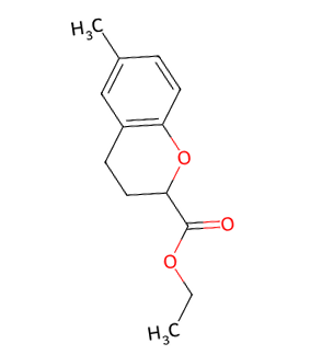 CCOC(=O)C1CCc2cc(C)ccc2O1